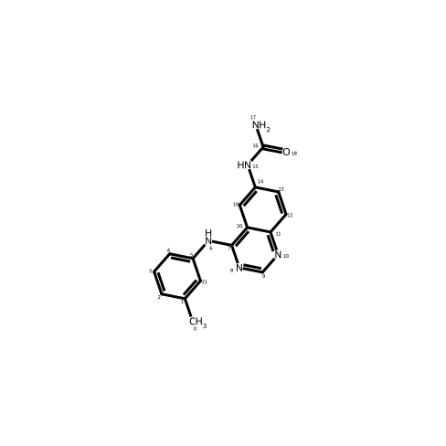 Cc1cccc(Nc2ncnc3ccc(NC(N)=O)cc23)c1